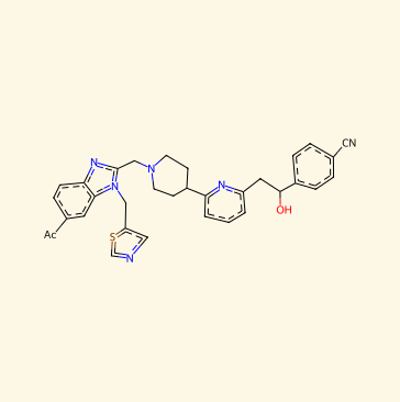 CC(=O)c1ccc2nc(CN3CCC(c4cccc(CC(O)c5ccc(C#N)cc5)n4)CC3)n(Cc3cncs3)c2c1